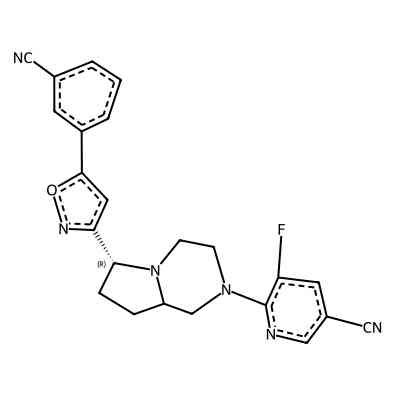 N#Cc1cccc(-c2cc([C@H]3CCC4CN(c5ncc(C#N)cc5F)CCN43)no2)c1